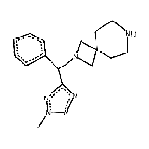 Cn1nnc(C(c2ccccc2)N2CC3(CCNCC3)C2)n1